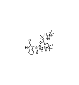 CC(C)(C)NC(=O)N[C@H](C(=O)N1C[C@H]2[C@@H]([C@H]1C(=O)N[C@H](C#N)CC1C(=C=O)Nc3ccccc31)C2(C)C)C(C)(C)C